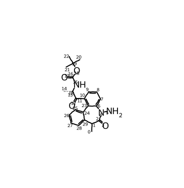 CC1C(=O)N(N)c2cccc(C(=O)[C@H](C)NC(=O)OC(C)(C)C)c2-c2ccccc21